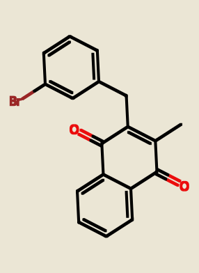 CC1=C(Cc2cccc(Br)c2)C(=O)c2ccccc2C1=O